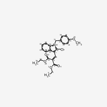 CCOC(=O)C(=Cc1c(Cl)n(Cc2ccc(OC)cc2)c2ccccc12)C(=O)OCC